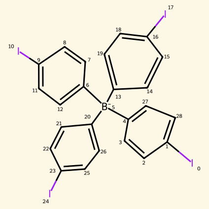 Ic1ccc([B-](c2ccc(I)cc2)(c2ccc(I)cc2)c2ccc(I)cc2)cc1